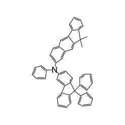 CC1(C)c2ccccc2-c2cc3ccc(N(c4ccccc4)c4ccc5c(c4)-c4ccccc4C5(c4ccccc4)c4ccccc4)cc3cc21